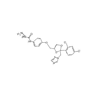 NNC(=O)Nc1ccc(OCC2COC(Cn3cncn3)(c3ccc(Cl)cc3Cl)O2)cc1